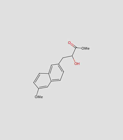 COC(=O)C(O)Cc1ccc2cc(OC)ccc2c1